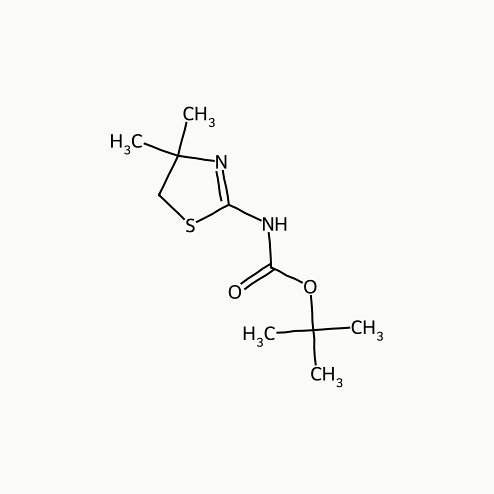 CC1(C)CSC(NC(=O)OC(C)(C)C)=N1